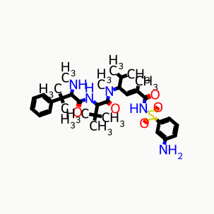 CNC(C(=O)NC(C(=O)N(C)C(C=C(C)C(=O)NS(=O)(=O)c1cccc(N)c1)C(C)C)C(C)(C)C)C(C)(C)c1ccccc1